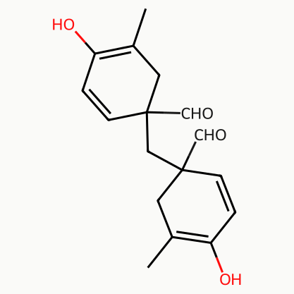 CC1=C(O)C=CC(C=O)(CC2(C=O)C=CC(O)=C(C)C2)C1